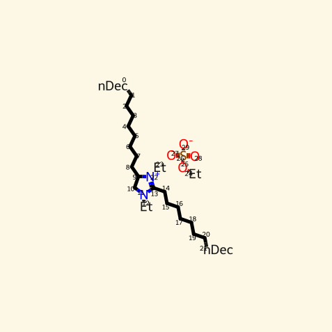 CCCCCCCCCCCCCCCCCCC1CN(CC)C(CCCCCCCCCCCCCCCCC)=[N+]1CC.CCOS(=O)(=O)[O-]